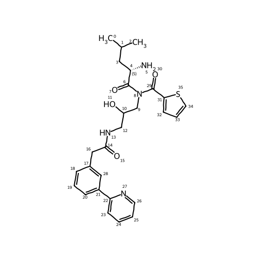 CC(C)C[C@H](N)C(=O)N(CC(O)CNC(=O)Cc1cccc(-c2ccccn2)c1)C(=O)c1cccs1